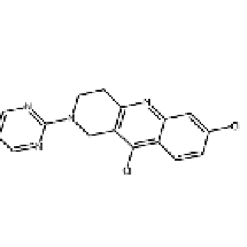 Clc1ccc2c(Cl)c3c(nc2c1)CCN(c1ncccn1)C3